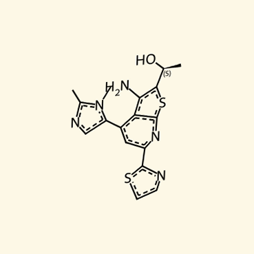 Cc1ncc(-c2cc(-c3nccs3)nc3sc([C@H](C)O)c(N)c23)n1C